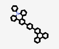 c1ccc(N2c3ccccc3-c3ccc(-c4ccc(-c5ccc6c7ccccc7c7ccccc7c6c5)cc4)cc3-c3ccccc32)cc1